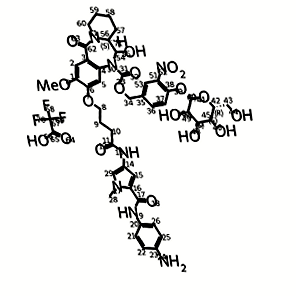 COc1cc2c(cc1OCCCC(=O)Nc1cc(C(=O)Nc3ccc(N)cc3)n(C)c1)N(C(=O)OCc1ccc(O[C@@H]3O[C@H](CO)[C@@H](O)[C@H](O)[C@H]3O)c([N+](=O)[O-])c1)C(O)[C@@H]1CCCCN1C2=O.O=C(O)C(F)(F)F